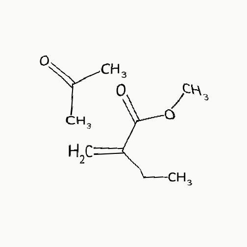 C=C(CC)C(=O)OC.CC(C)=O